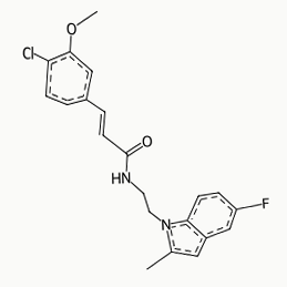 COc1cc(C=CC(=O)NCCn2c(C)cc3cc(F)ccc32)ccc1Cl